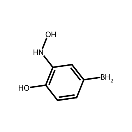 Bc1ccc(O)c(NO)c1